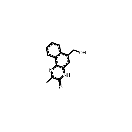 Cc1nc2c(cc(CO)c3ccccc32)[nH]c1=O